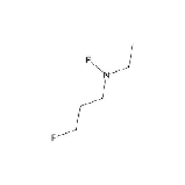 CCN(F)CCCF